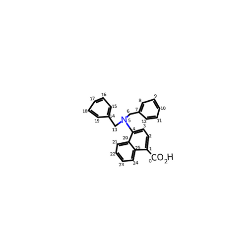 O=C(O)c1ccc(N(Cc2ccccc2)Cc2ccccc2)c2ccccc12